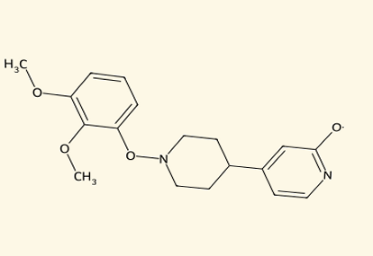 COc1cccc(ON2CCC(c3ccnc([O])c3)CC2)c1OC